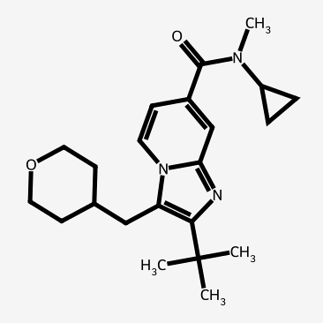 CN(C(=O)c1ccn2c(CC3CCOCC3)c(C(C)(C)C)nc2c1)C1CC1